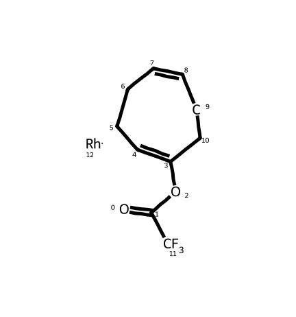 O=C(OC1=CCCC=CCC1)C(F)(F)F.[Rh]